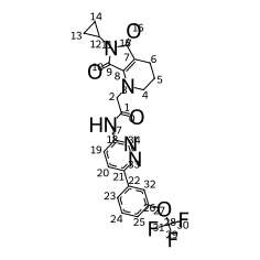 O=C(CN1CCCC2=C1C(=O)N(C1CC1)C2=O)Nc1ccc(-c2cccc(OC(F)(F)F)c2)nn1